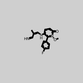 COn1c(-c2ccc(F)cc2)c(N/C=C(/C)C=N)ccc1=O